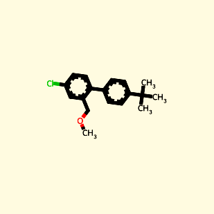 COCc1cc(Cl)ccc1-c1ccc(C(C)(C)C)cc1